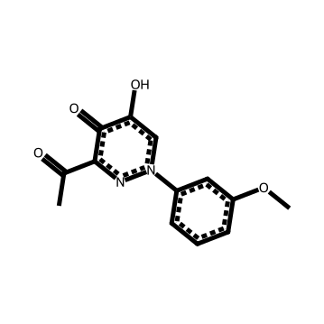 COc1cccc(-n2cc(O)c(=O)c(C(C)=O)n2)c1